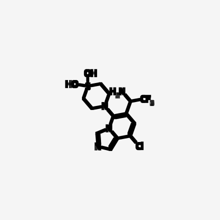 NC(c1cc(Cl)c2cncn2c1N1CCS(O)(O)CC1)C(F)(F)F